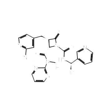 CC[C@@H](NC(=O)N1C(=O)[C@H](Cc2ccnc(N)c2)[C@H]1C(=O)N(C)c1ncccn1)c1cccnc1